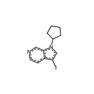 Ic1cn(C2CCCC2)c2cnccc12